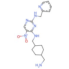 NCC1CCC(CNc2nc(NCc3ccccn3)ncc2[N+](=O)[O-])CC1